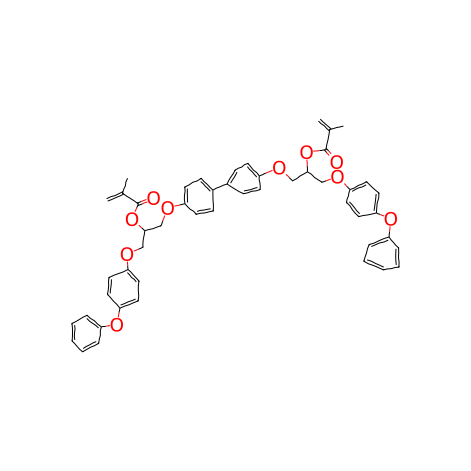 C=C(C)C(=O)OC(COc1ccc(Oc2ccccc2)cc1)COc1ccc(-c2ccc(OCC(COc3ccc(Oc4ccccc4)cc3)OC(=O)C(=C)C)cc2)cc1